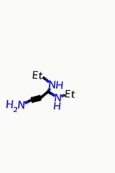 CCNC(C#CN)NCC